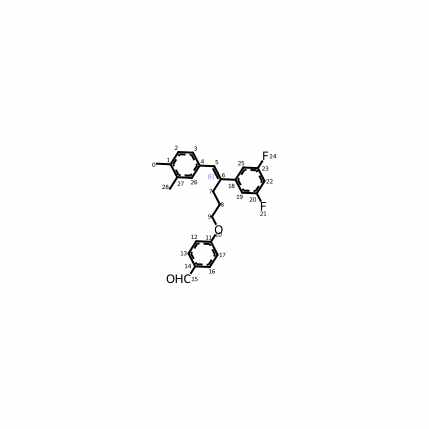 Cc1ccc(/C=C(\CCCOc2ccc(C=O)cc2)c2cc(F)cc(F)c2)cc1C